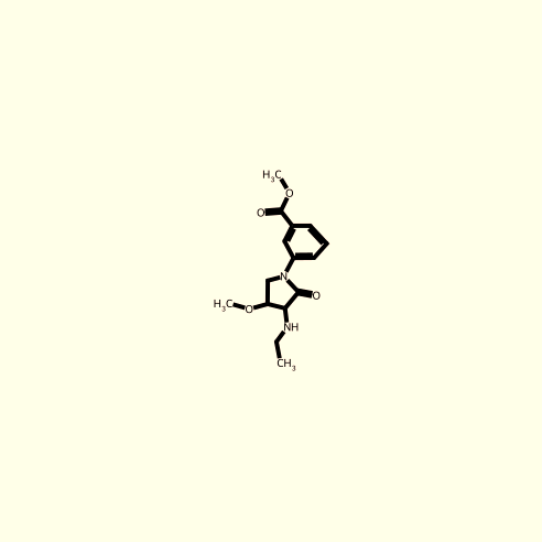 CCNC1C(=O)N(c2cccc(C(=O)OC)c2)CC1OC